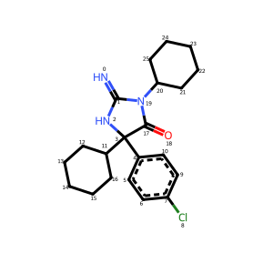 N=C1NC(c2ccc(Cl)cc2)(C2CCCCC2)C(=O)N1C1CCCCC1